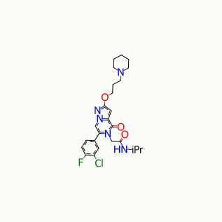 CC(C)NC(=O)Cn1c(-c2ccc(F)c(Cl)c2)cn2nc(OCCCN3CCCCC3)cc2c1=O